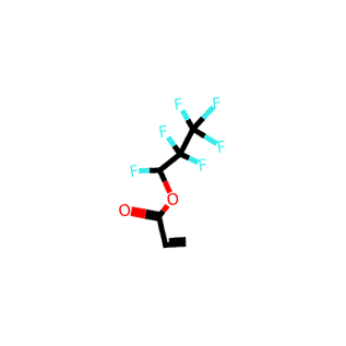 C=CC(=O)OC(F)C(F)(F)C(F)(F)F